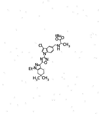 CCn1nc(-c2nc(-n3cc(Cl)c4cc(CNC(C)C(=O)OC(C)(C)C)ccc43)no2)c2c1CC(C)(C)CC2